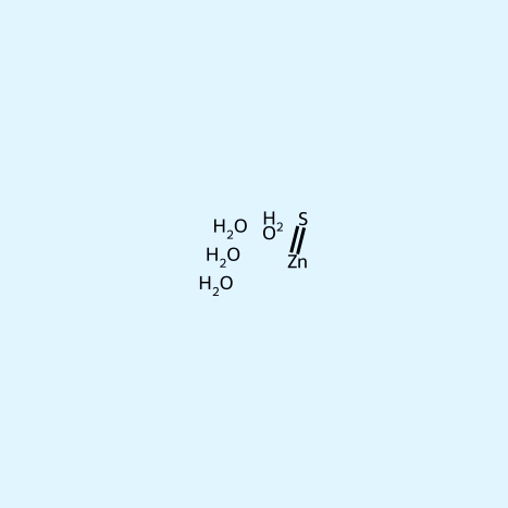 O.O.O.O.[S]=[Zn]